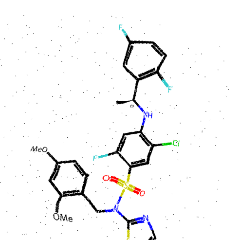 COc1ccc(CN(c2nccs2)S(=O)(=O)c2cc(Cl)c(N[C@@H](C)c3cc(F)ccc3F)cc2F)c(OC)c1